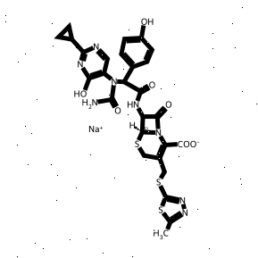 Cc1nnc(SCC2=C(C(=O)[O-])N3C(=O)C(NC(=O)C(c4ccc(O)cc4)N(C(N)=O)c4cnc(C5CC5)nc4O)[C@@H]3SC2)s1.[Na+]